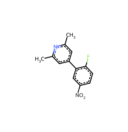 Cc1cc(-c2cc([N+](=O)[O-])ccc2F)cc(C)n1